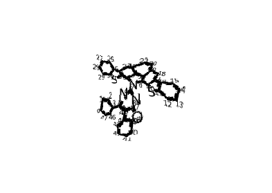 c1ccc(-c2nc(-n3c4c5sc6ccccc6c5cc5ccc6cc7c8ccccc8sc7c3c6c54)nc3oc4ccccc4c23)cc1